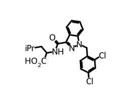 CC(C)CC(NC(=O)c1nn(Cc2ccc(Cl)cc2Cl)c2ccccc12)C(=O)O